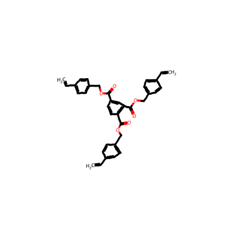 C=Cc1ccc(COC(=O)c2ccc(C(=O)OCc3ccc(C=C)cc3)c(C(=O)OCc3ccc(C=C)cc3)c2)cc1